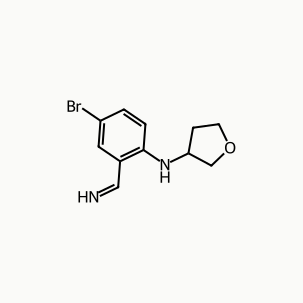 N=Cc1cc(Br)ccc1NC1CCOC1